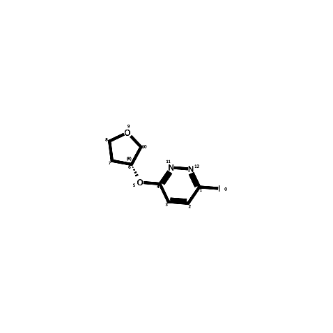 Ic1ccc(O[C@@H]2CCOC2)nn1